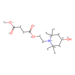 COC(=O)CCC(=O)OCCN1C(C)(C)CC(O)CC1(C)C